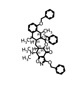 C[C@@H]1c2c(OCc3ccccc3)cccc2[C@H](C)[C@@H]2C[C@H]3[C@H](N(C)C)c4onc(OCc5ccccc5)c4C(=O)[C@@H]3OC(=O)[C@]12Sc1ccccc1